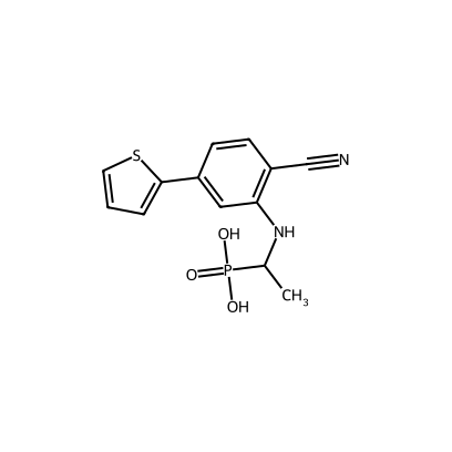 CC(Nc1cc(-c2cccs2)ccc1C#N)P(=O)(O)O